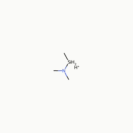 C[SiH2]N(C)C.[H+]